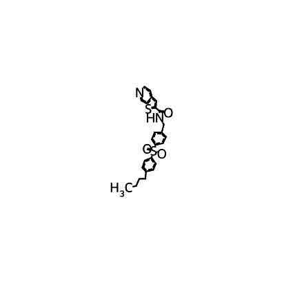 CCCCc1ccc(S(=O)(=O)c2ccc(CNC(=O)c3cc4ccncc4s3)cc2)cc1